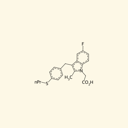 CCCSc1ccc(Cc2c(C)n(CC(=O)O)c3ccc(F)cc23)cc1